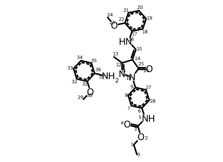 CCOC(=O)Nc1ccc(N2N=C(C)/C(=C\Nc3ccccc3OC)C2=O)cc1.COc1ccccc1N